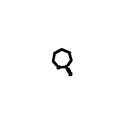 O=S1C[CH]CCCO1